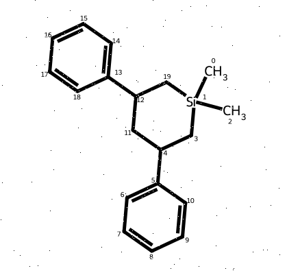 C[Si]1(C)CC(c2ccccc2)CC(c2ccccc2)C1